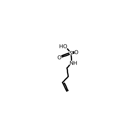 C=CCCNS(=O)(=O)O